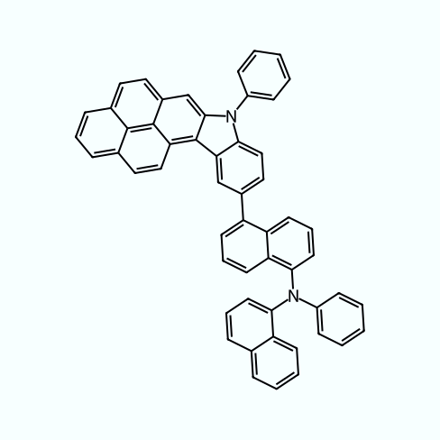 c1ccc(N(c2cccc3ccccc23)c2cccc3c(-c4ccc5c(c4)c4c6ccc7cccc8ccc(cc4n5-c4ccccc4)c6c87)cccc23)cc1